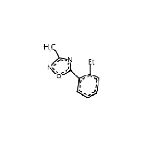 [CH2]c1noc(-c2ccccc2CC)n1